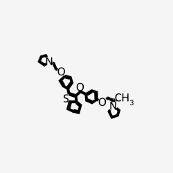 C[C@H](COc1ccc(C(=O)c2c(-c3ccc(OCCN4CCCC4)cc3)sc3ccccc23)cc1)N1CCCC1